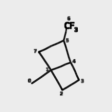 CC12CCC1C(C(F)(F)F)C2